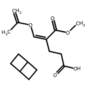 C1CC2CCC12.C=C(C)OC=C(CCC(=O)O)C(=O)OC